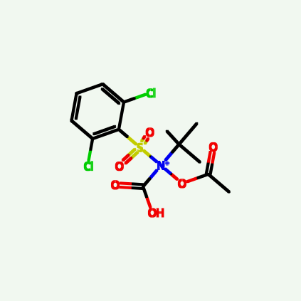 CC(=O)O[N+](C(=O)O)(C(C)(C)C)S(=O)(=O)c1c(Cl)cccc1Cl